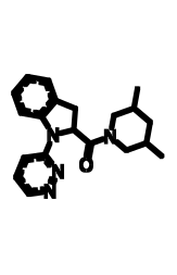 CC1CC(C)CN(C(=O)C2Cc3ccccc3N2c2cccnn2)C1